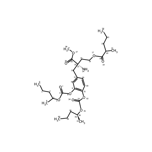 CCCC(C)OC(=O)Oc1cc(C[C@](N)(CCOC(=O)C(C)CCC)C(=O)OC)ccc1OC(=O)O[C@@H](C)CCC